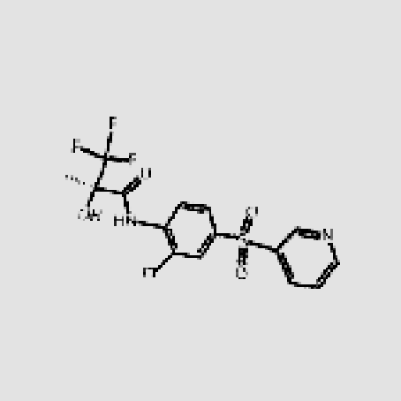 C[C@@](O)(C(=O)Nc1ccc(S(=O)(=O)c2cccnc2)cc1Cl)C(F)(F)F